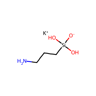 NCCC[Si]([O-])(O)O.[K+]